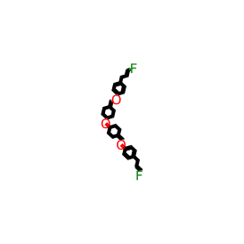 FC=CCc1ccc(OC=C2CCC(OC3CCC(=COc4ccc(CC=CF)cc4)CC3)CC2)cc1